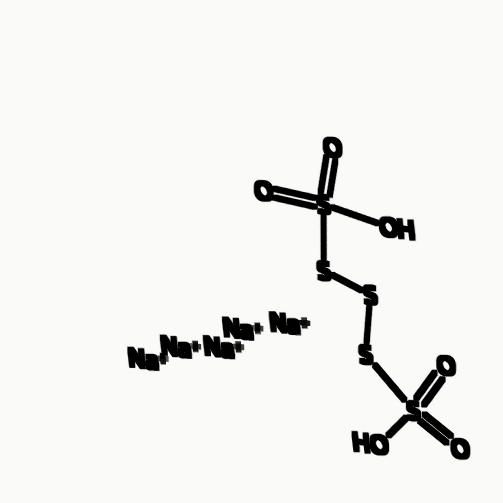 O=S(=O)(O)SSSS(=O)(=O)O.[Na+].[Na+].[Na+].[Na+].[Na+]